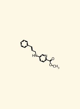 COC(=O)c1ccc(NCC=Cc2ccccc2)cn1